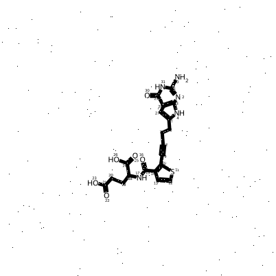 Nc1nc2[nH]c(CCC#Cc3sccc3C(=O)NC(CCC(=O)O)C(=O)O)cc2c(=O)[nH]1